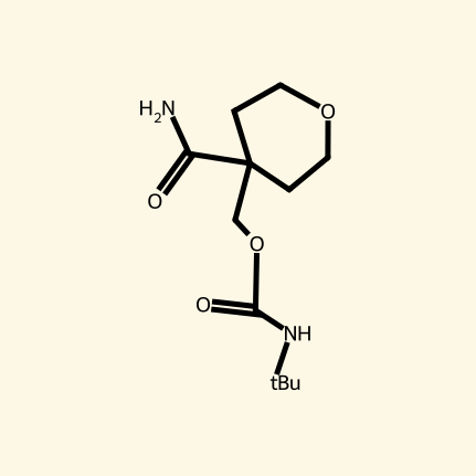 CC(C)(C)NC(=O)OCC1(C(N)=O)CCOCC1